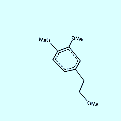 COCCc1ccc(OC)c(OC)c1